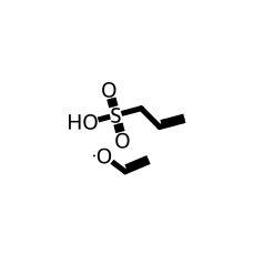 C=CCS(=O)(=O)O.C=C[O]